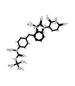 CN(C(=O)OC(C)(C)C)C1CCC(Cc2cccc3c2n(C)c(=O)n3C2CCC(=O)NC2=O)CC1